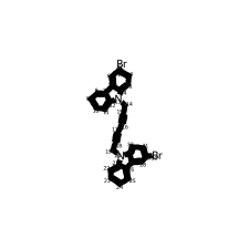 Brc1ccc2c(c1)c1ccccc1n2CC#CC#CCn1c2ccccc2c2cc(Br)ccc21